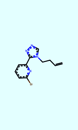 C=CCCn1cnnc1-c1cccc(Br)n1